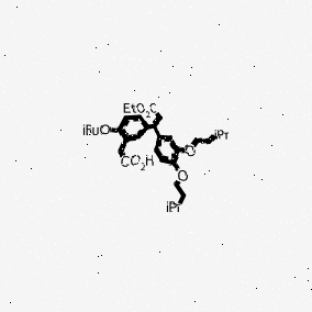 CCOC(=O)/C=C(\c1ccc(OCC(C)C)c(CC(=O)O)c1)c1ccc(OCCC(C)C)c(OCCC(C)C)c1